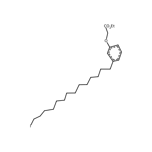 CCOC(=O)COc1cccc(CCCCCCCCCCCCCCI)c1